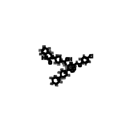 O=C(COc1ccc(Cl)cc1)N[C@@H](CC(O)N1CCC(N2Cc3ccccc3NC2=O)CC1)C(=O)N1CCC(N2CCCCC2)CC1